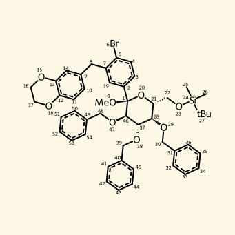 CO[C@@]1(c2ccc(Br)c(Cc3ccc4c(c3)OCCO4)c2)O[C@H](CO[Si](C)(C)C(C)(C)C)[C@@H](OCc2ccccc2)[C@H](OCc2ccccc2)[C@H]1OCc1ccccc1